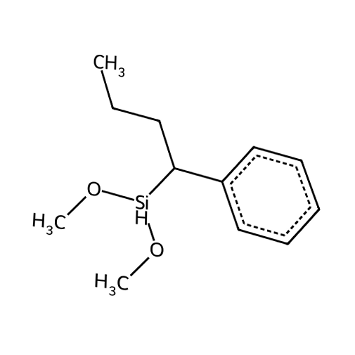 CCCC(c1ccccc1)[SiH](OC)OC